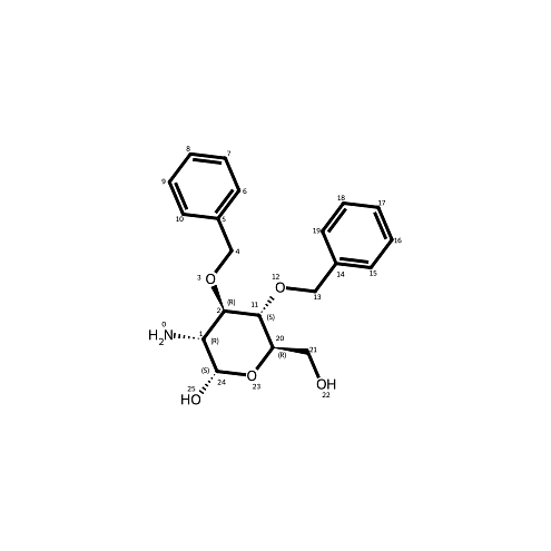 N[C@@H]1[C@@H](OCc2ccccc2)[C@H](OCc2ccccc2)[C@@H](CO)O[C@@H]1O